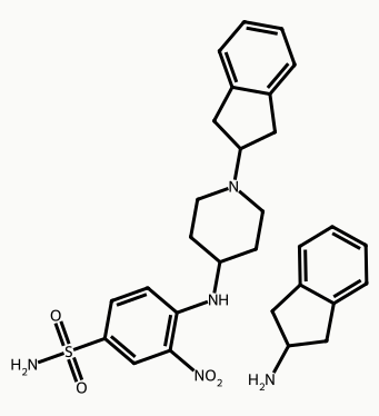 NC1Cc2ccccc2C1.NS(=O)(=O)c1ccc(NC2CCN(C3Cc4ccccc4C3)CC2)c([N+](=O)[O-])c1